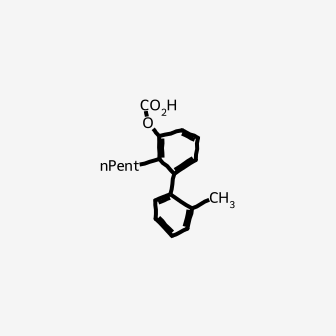 CCCCCc1c(OC(=O)O)cccc1-c1ccccc1C